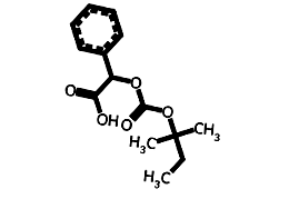 CCC(C)(C)OC(=O)OC(C(=O)O)c1ccccc1